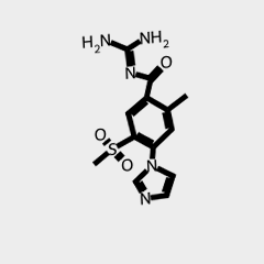 Cc1cc(-n2ccnc2)c(S(C)(=O)=O)cc1C(=O)N=C(N)N